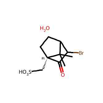 CC1(C)C2CC[C@]1(CS(=O)(=O)O)C(=O)C2Br.O